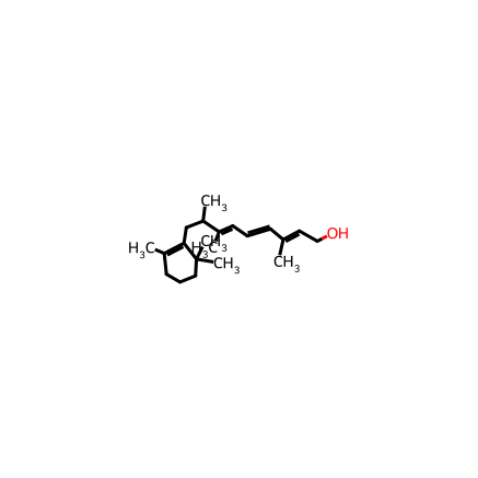 CC1=C(CC(C)/C(C)=C/C=C/C(C)=C/CO)C(C)(C)CCC1